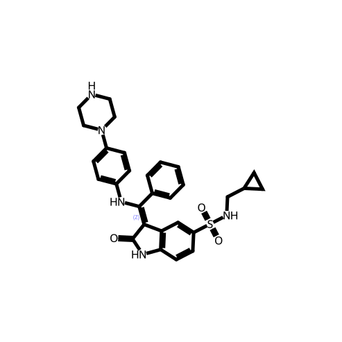 O=C1Nc2ccc(S(=O)(=O)NCC3CC3)cc2/C1=C(/Nc1ccc(N2CCNCC2)cc1)c1ccccc1